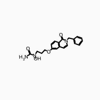 NC(=O)N(O)CCCOc1ccc2c(=O)n(Cc3ccccc3)ccc2c1